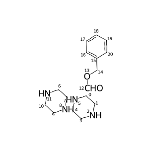 C1CNCCN1.C1CNCCN1.O=COCc1ccccc1